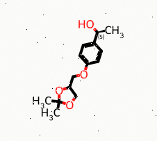 C[C@H](O)c1ccc(OCC2COC(C)(C)O2)cc1